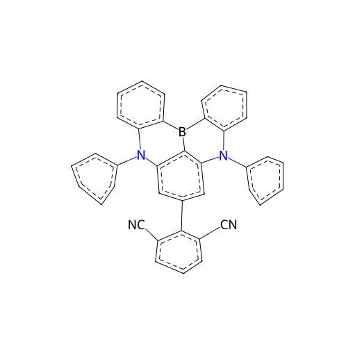 N#Cc1cccc(C#N)c1-c1cc2c3c(c1)N(c1ccccc1)c1ccccc1B3c1ccccc1N2c1ccccc1